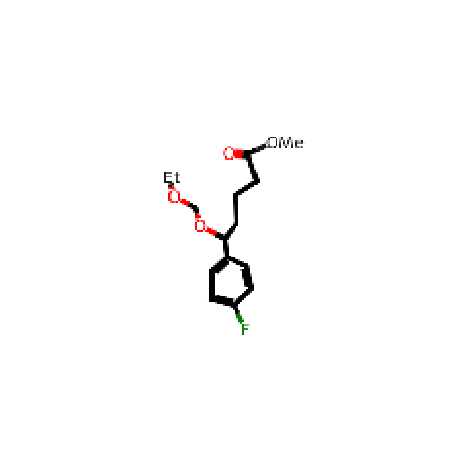 CCOCOC(CCCC(=O)OC)c1ccc(F)cc1